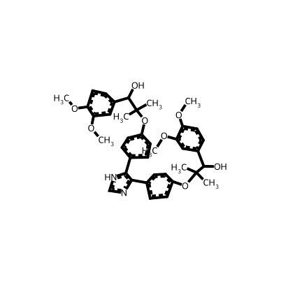 COc1ccc(C(O)C(C)(C)Oc2ccc(-c3nc[nH]c3-c3ccc(OC(C)(C)C(O)c4ccc(OC)c(OC)c4)cc3)cc2)cc1OC